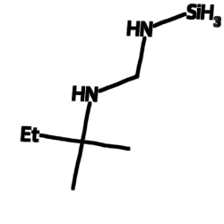 CCC(C)(C)NCN[SiH3]